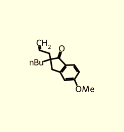 C=CCC1(CCCC)Cc2cc(OC)ccc2C1=O